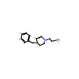 CC(=O)CCN1CCC(Cc2ccccc2)CC1